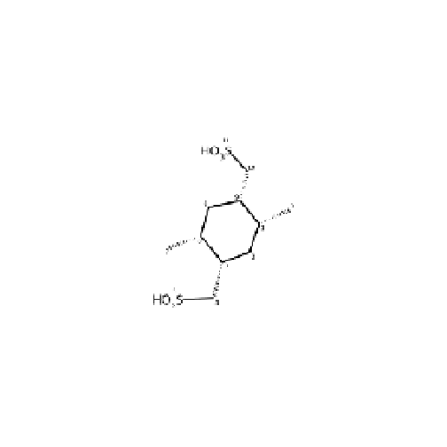 C[C@@H]1C[C@H](CS(=O)(=O)O)[C@H](C)C[C@@H]1CS(=O)(=O)O